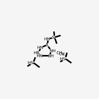 C.C.C[SiH](C)C.C[SiH](C)C.C[Si](C)(C)NB1NBNBN1